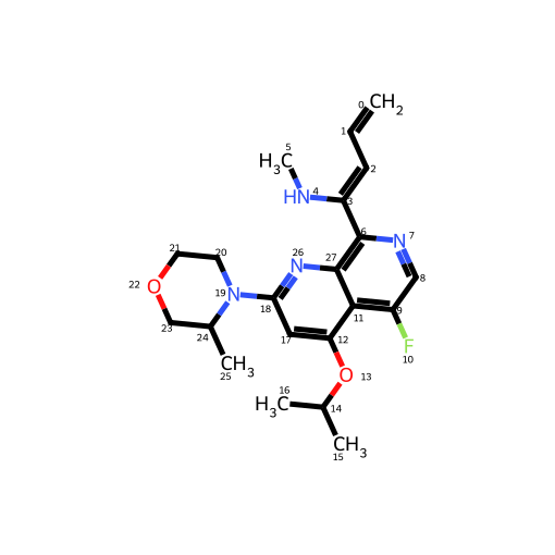 C=C/C=C(\NC)c1ncc(F)c2c(OC(C)C)cc(N3CCOCC3C)nc12